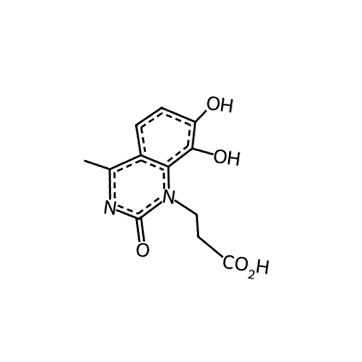 Cc1nc(=O)n(CCC(=O)O)c2c(O)c(O)ccc12